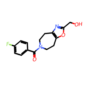 O=C(c1ccc(F)cc1)N1CCc2nc(CO)oc2CC1